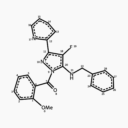 COc1ccccc1C(=O)n1nc(-c2ccccn2)c(F)c1NCc1ccccc1